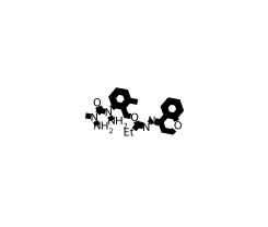 CC/C(=N/N=C1CCOc2ccccc21)OCc1c(C)cccc1N(N)C(=O)N(C)N